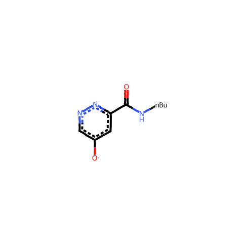 CCCCNC(=O)c1cc([O])cnn1